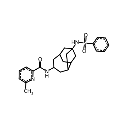 Cc1cccc(C(=O)NC2CC3CC4CC(NS(=O)(=O)c5ccccc5)(C3)CC4C2)n1